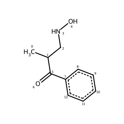 CC(CNO)C(=O)c1ccccc1